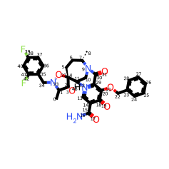 CC1C(=O)[C@]2(CC[C@H](C)N3C[C@H]2n2cc(C(N)=O)c(=O)c(OCc4ccccc4)c2C3=O)ON1Cc1ccc(F)cc1F